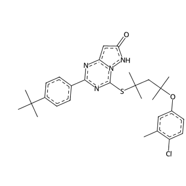 Cc1cc(OC(C)(C)CC(C)(C)Sc2nc(-c3ccc(C(C)(C)C)cc3)nc3cc(=O)[nH]n23)ccc1Cl